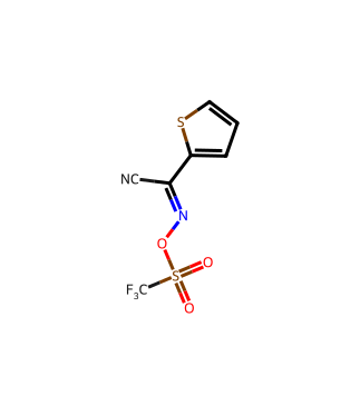 N#CC(=NOS(=O)(=O)C(F)(F)F)c1cccs1